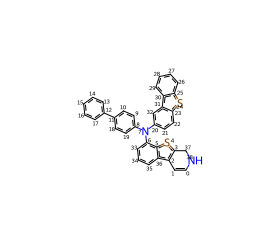 C1=Cc2c(sc3c(N(c4ccc(-c5ccccc5)cc4)c4ccc5sc6ccccc6c5c4)cccc23)CN1